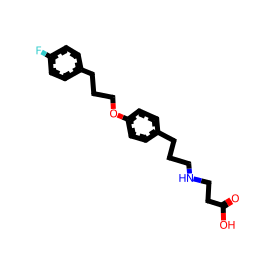 O=C(O)CCNCCCc1ccc(OCCCc2ccc(F)cc2)cc1